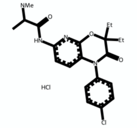 CCC1(CC)Oc2nc(NC(=O)C(C)NC)ccc2N(c2ccc(Cl)cc2)C1=O.Cl